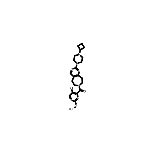 CSc1ncc(Cl)c(C(=O)N2CCc3cnc(N4CCN(C5CCC5)CC4)nc3CC2)n1